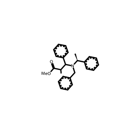 COC(=O)C(C)C(c1ccccc1)N(Cc1ccccc1)[C@@H](C)c1ccccc1